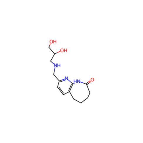 O=C1CCCCc2ccc(CNCC(O)CO)nc2N1